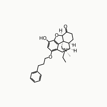 CC[N@@+]1(C)CC[C@]23c4c5c(OCCCc6ccccc6)cc(O)c4O[C@H]2C(=O)CC[C@H]3[C@H]1C5